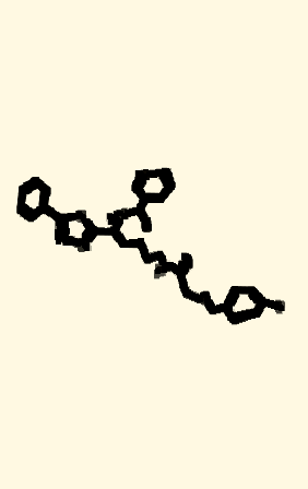 O=C(COCc1ccc(F)cc1)NCCCCC(NC(=O)c1cccnc1)c1nnc(-c2ccccc2)s1